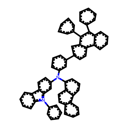 c1ccc(-c2c(-c3ccccc3)c3cc(-c4cccc(N(c5ccc6c7ccccc7n(-c7ccccc7)c6c5)c5cccc6c5ccc5ccccc56)c4)ccc3c3ccccc23)cc1